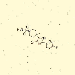 CC1(c2[nH]c(-c3ccc(F)cn3)nc2Cl)CCN(S(N)(=O)=O)CC1